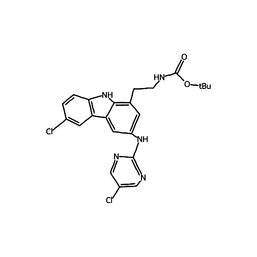 CC(C)(C)OC(=O)NCCc1cc(Nc2ncc(Cl)cn2)cc2c1[nH]c1ccc(Cl)cc12